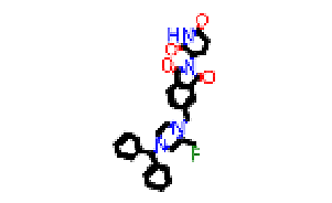 O=C1CCC(N2C(=O)c3ccc(CN4CCN(C(c5ccccc5)c5ccccc5)CC4CF)cc3C2=O)C(=O)N1